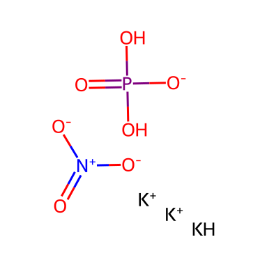 O=P([O-])(O)O.O=[N+]([O-])[O-].[K+].[K+].[KH]